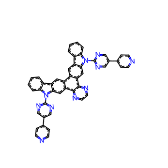 c1ccc2c(c1)c1cc3c4cc5c6ccccc6n(-c6ncc(-c7ccncc7)cn6)c5cc4c4nccnc4c3cc1n2-c1ncc(-c2ccncc2)cn1